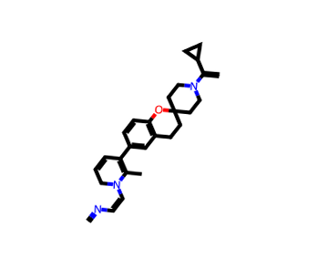 C=N/C=C\N1CC=CC(c2ccc3c(c2)CCC2(CCN(C(=C)C4CC4)CC2)O3)=C1C